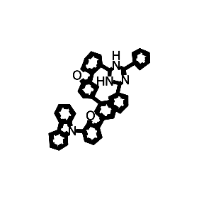 c1ccc(C2=NC(c3ccccc3)NC(c3cccc4oc5ccc(-c6cccc7c6oc6c(-n8c9ccccc9c9ccccc98)cccc67)cc5c34)N2)cc1